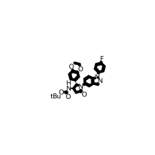 CC(C)(C)OC(=O)N[C@@H]1CC(=O)N(c2ccc3c(cnn3-c3ccc(F)cc3)c2)[C@H]1c1ccc2c(c1)OCCO2